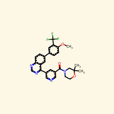 COc1ccc(-c2ccc3ncnc(-c4cncc(C(=O)N5CCOC(C)(C)C5)c4)c3c2)cc1C(F)(F)F